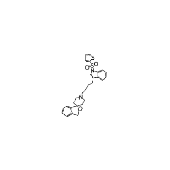 O=S(=O)(c1cccs1)n1cc(CCCCN2CCC3(CC2)OCc2ccccc23)c2ccccc21